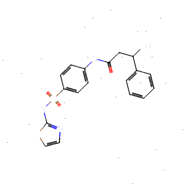 CC(CC(=O)Nc1ccc(S(=O)(=O)Nc2nccs2)cc1)c1ccccc1